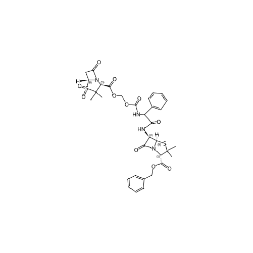 CC1(C)S[C@@H]2[C@H](NC(=O)C(NC(=O)OCOC(=O)[C@@H]3N4C(=O)C[C@H]4S(=O)(=O)C3(C)C)c3ccccc3)C(=O)N2[C@H]1C(=O)OCc1ccccc1